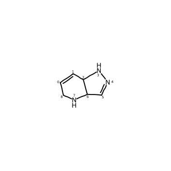 C1=CC2NN=CC2NC1